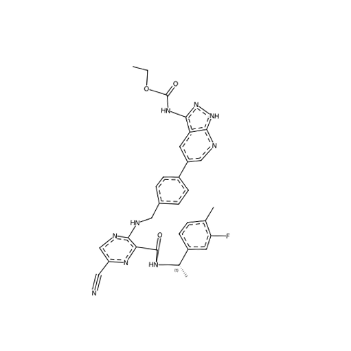 CCOC(=O)Nc1n[nH]c2ncc(-c3ccc(CNc4ncc(C#N)nc4C(=O)N[C@@H](C)c4ccc(C)c(F)c4)cc3)cc12